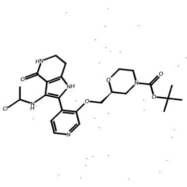 CC(Cl)Nc1c(-c2ccncc2OC[C@@H]2CN(C(=O)OC(C)(C)C)CCO2)[nH]c2c1C(=O)NCC2